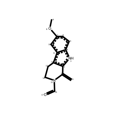 C=C1c2[nH]c3ccc(OC)cc3c2CCN1C=O